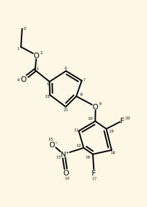 CCOC(=O)c1ccc(Oc2cc([N+](=O)[O-])c(F)cc2F)cc1